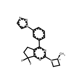 C[C@H]1CCN1c1nc(-c2cccc(-n3ccnn3)c2)c2c(n1)C(F)(F)CC2